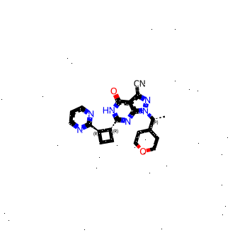 C[C@H](C1CCOCC1)n1nc(C#N)c2c(=O)[nH]c([C@@H]3CC[C@H]3c3ncccn3)nc21